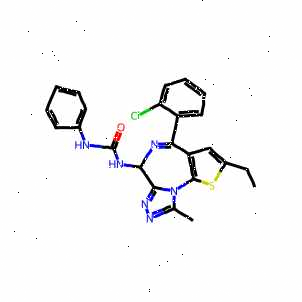 CCc1cc2c(s1)-n1c(C)nnc1C(NC(=O)Nc1ccccc1)N=C2c1ccccc1Cl